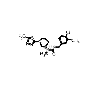 Cc1cc(CNC(=O)N(C)[C@@H]2CCCN(c3nnc(C(F)(F)F)s3)C2)ccc1Cl